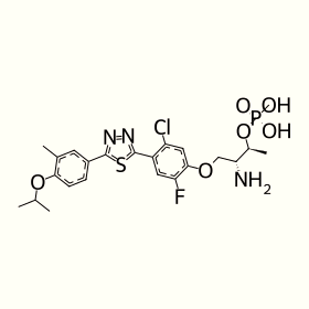 Cc1cc(-c2nnc(-c3cc(F)c(OC[C@@H](N)[C@H](C)OP(=O)(O)O)cc3Cl)s2)ccc1OC(C)C